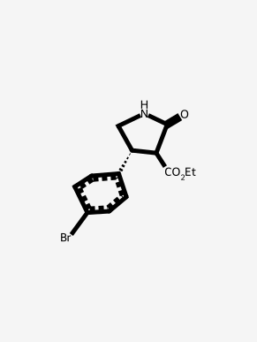 CCOC(=O)C1C(=O)NC[C@H]1c1ccc(Br)cc1